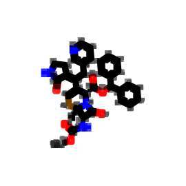 CC(C)(C)OC(=O)N[C@@H]1C(=O)N2[C@@H](C(=O)OC(c3ccccc3)c3ccccc3)C(C(Cc3cccnc3)=C3CCNC3=O)=CS[C@H]12